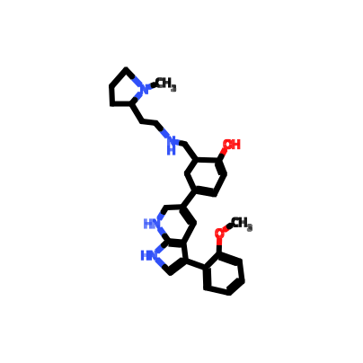 COc1ccccc1-c1c[nH]c2c1C=C(C1=CC=C(O)C(CNCCC3CCCN3C)C1)CN2